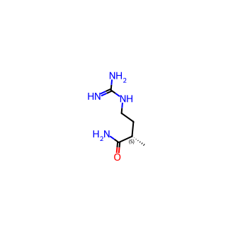 C[C@@H](CCNC(=N)N)C(N)=O